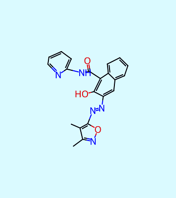 Cc1noc(/N=N/c2cc3ccccc3c(C(=O)Nc3ccccn3)c2O)c1C